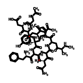 CC/C=C\CCC[C@](C)(NC(=O)C(NC(=O)CNC(C)=O)C(=O)[C@@H](N)CC(=O)O)C(=O)NC(C(=O)NC(C(=O)NC(CC(=O)[C@H](C)NC)C(=O)NC(C(C)=O)C(=O)[C@@H](N)Cc1ccc(O)cc1)C(=O)[C@@H](N)CC(N)=O)C(=O)[C@@H](N)Cc1ccccc1